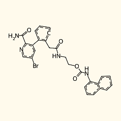 NC(=O)c1ncc(Br)cc1-c1ccccc1CC(=O)NCCOC(=O)Nc1cccc2ccccc12